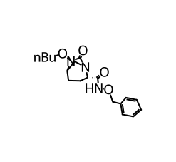 CCCCON1C(=O)N2CC1CC[C@H]2C(=O)NOCc1ccccc1